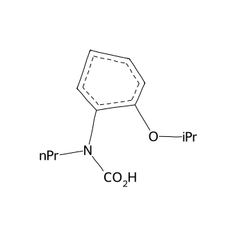 CCCN(C(=O)O)c1ccccc1OC(C)C